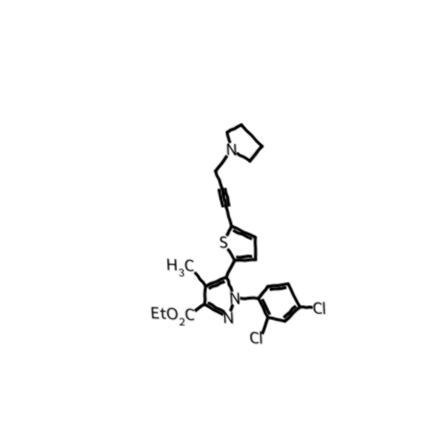 CCOC(=O)c1nn(-c2ccc(Cl)cc2Cl)c(-c2ccc(C#CCN3CCCC3)s2)c1C